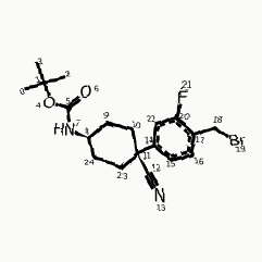 CC(C)(C)OC(=O)N[C@H]1CC[C@](C#N)(c2ccc(CBr)c(F)c2)CC1